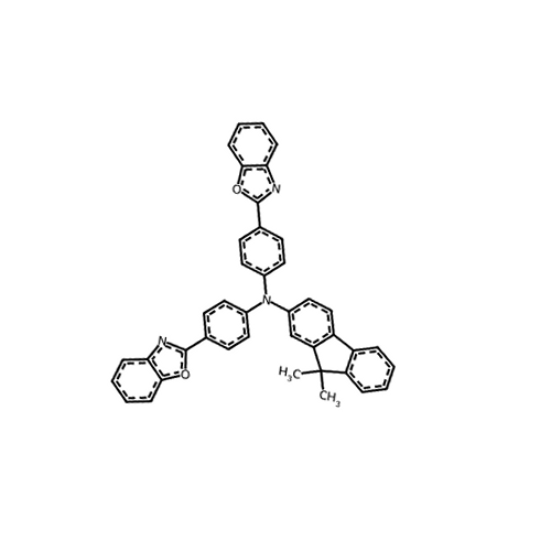 CC1(C)c2ccccc2-c2ccc(N(c3ccc(-c4nc5ccccc5o4)cc3)c3ccc(-c4nc5ccccc5o4)cc3)cc21